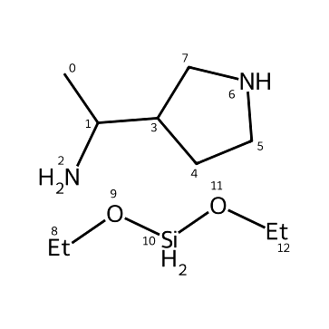 CC(N)C1CCNC1.CCO[SiH2]OCC